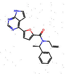 C=CCN(C(=O)c1ccc(-c2ncnc3[nH]ccc23)o1)[C@H](C)c1ccccc1